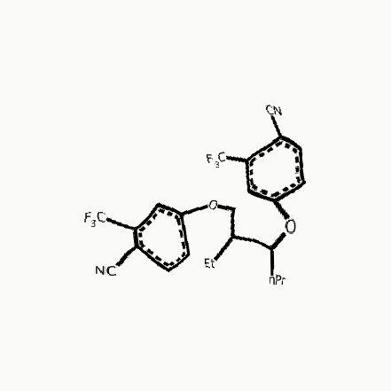 CCCC(Oc1ccc(C#N)c(C(F)(F)F)c1)C(CC)COc1ccc(C#N)c(C(F)(F)F)c1